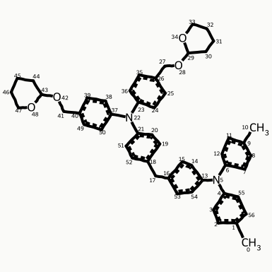 Cc1ccc(N(c2ccc(C)cc2)c2ccc(Cc3ccc(N(c4ccc(COC5CCCCO5)cc4)c4ccc(COC5CCCCO5)cc4)cc3)cc2)cc1